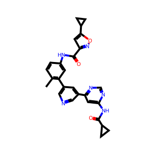 Cc1ccc(NC(=O)c2cc(C3CC3)on2)cc1-c1cncc(-c2cc(NC(=O)C3CC3)ncn2)c1